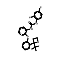 CC(C)c1ccc(NC(=O)Nc2cccnc2Oc2ccccc2C2(C(C)(F)F)CCO2)c(F)c1